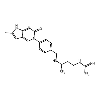 Cc1cc2cn(-c3ccc(CNC(CCNC(=N)N)C(F)(F)F)cc3)c(=O)nc2[nH]1